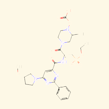 CCOP(=O)(O)C[C@H](NC(=O)c1cc(N2CC[C@H](OC)C2)nc(-c2ccccc2)n1)C(=O)N1CCN(OC(=O)O)C(C)C1